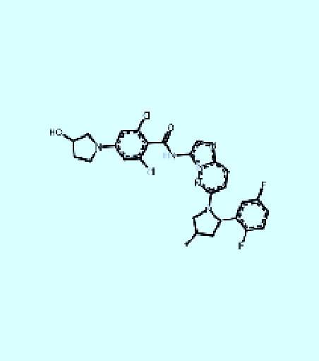 CC1C[C@H](c2cc(F)ccc2F)N(c2ccc3ncc(NC(=O)c4c(Cl)cc(N5CCC(O)C5)cc4Cl)n3n2)C1